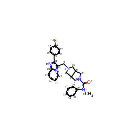 CN(C(=O)N1CC2CN(Cc3c(-c4ccc(Br)cc4)nc4ccccn34)CC2C1)c1ccccc1